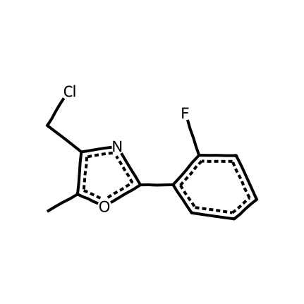 Cc1oc(-c2ccccc2F)nc1CCl